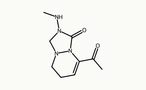 CNN1CN2CCC=C(C(C)=O)N2C1=O